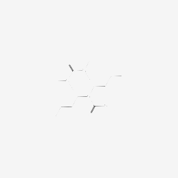 CCCCN(CCCC)C(N)=S.CN(C)C(=S)N(C)C